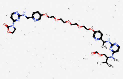 CC(Nc1nccc(N(C)C(COC=O)C(C)C)n1)c1ccc(OCCOCCOCCOCCOc2ccc(CNc3nccc(N4CCOC4=O)n3)nc2)cn1